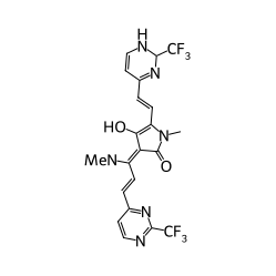 CNC(/C=C/c1ccnc(C(F)(F)F)n1)=C1/C(=O)N(C)C(/C=C/C2=NC(C(F)(F)F)NC=C2)=C1O